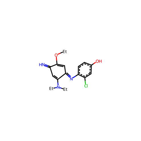 CCOC1=CC(=Nc2ccc(O)cc2Cl)C(N(CC)CC)=CC1=N